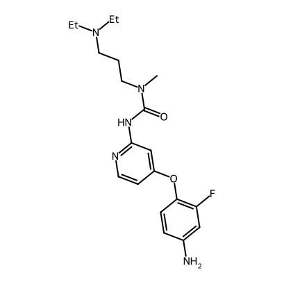 CCN(CC)CCCN(C)C(=O)Nc1cc(Oc2ccc(N)cc2F)ccn1